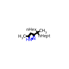 CCCCCCCC(C)(CCCCCC)c1cc(C)[nH]n1